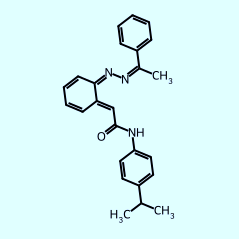 CC(=N/N=C1/C=CC=C/C1=C\C(=O)Nc1ccc(C(C)C)cc1)c1ccccc1